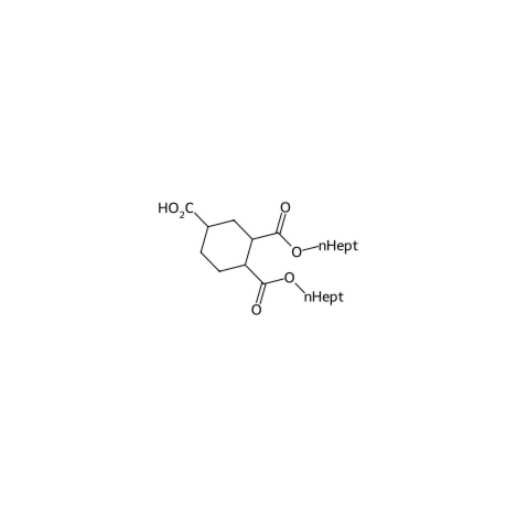 CCCCCCCOC(=O)C1CCC(C(=O)O)CC1C(=O)OCCCCCCC